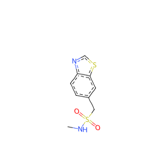 CNS(=O)(=O)Cc1ccc2ncsc2c1